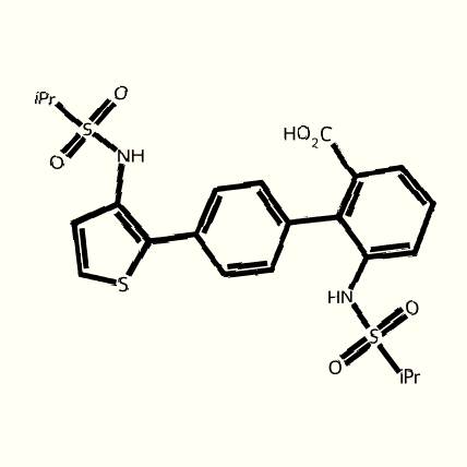 CC(C)S(=O)(=O)Nc1ccsc1-c1ccc(-c2c(NS(=O)(=O)C(C)C)cccc2C(=O)O)cc1